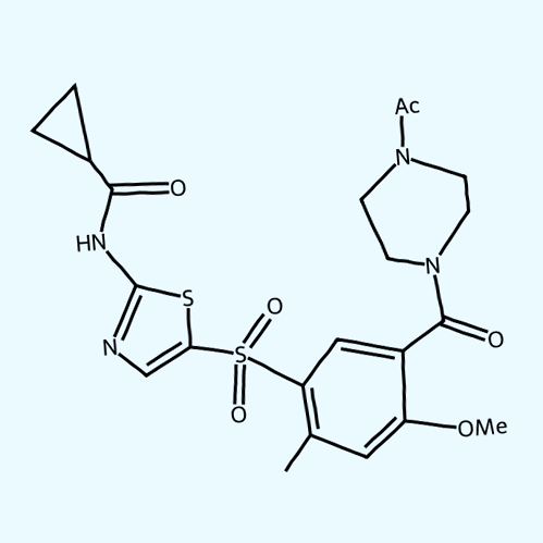 COc1cc(C)c(S(=O)(=O)c2cnc(NC(=O)C3CC3)s2)cc1C(=O)N1CCN(C(C)=O)CC1